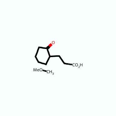 COC.O=C(O)CCC1CCCCC1=O